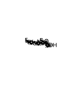 CC(C)(F)CN1CCC(COc2ccc(-c3ccc(C(=O)N4CCC[C@@H](O)C4)cc3F)nc2)CC1